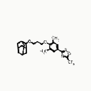 Cc1cc(-c2noc(C(F)(F)F)n2)cc(C)c1OCCCOC1C2CC3CC(C2)CC1C3